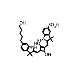 CCN1C(=CC2=C(O)C(C=C3Nc4cc(CCCCCO)ccc4C3(C)C)C2O)C(C)(C)c2cc(S(=O)(=O)O)ccc21